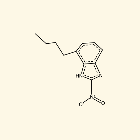 CCCCc1cccc2nc([N+](=O)[O-])[nH]c12